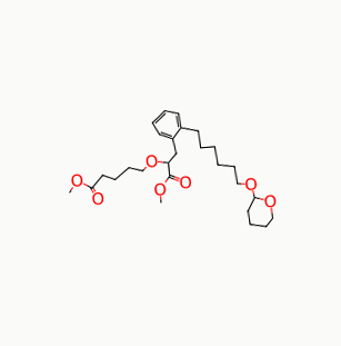 COC(=O)CCCCOC(Cc1ccccc1CCCCCCOC1CCCCO1)C(=O)OC